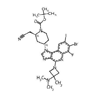 CN(C)C1(C)CN(c2nc3c(F)c(Br)c(I)cc3c3c2ncn3[C@H]2CCN(C(=O)OC(C)(C)C)[C@H](CC#N)C2)C1